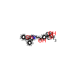 CC(C)(C(=O)O)c1ccc(C(O)CCCN2CCC(C(O)(Cc3ccccc3)c3ccccc3)CC2)cc1